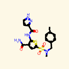 Cc1ccc(CN(C)S(=O)(=O)c2cc(C(N)=O)c(NC(=O)c3cc[nH]n3)s2)cc1